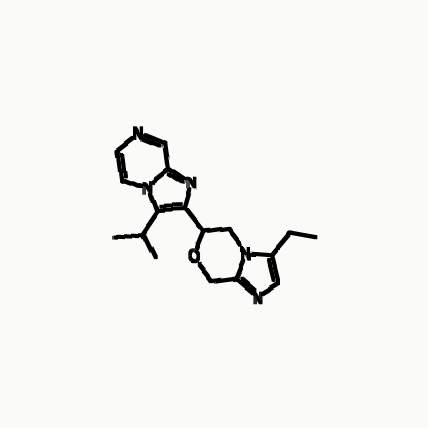 CCc1cnc2n1CC(c1nc3cnccn3c1C(C)C)OC2